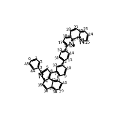 c1ccc(-c2cc(-c3cccc(-c4ccc(-c5ccc6ccc7cccnc7c6n5)cc4)c3)c3c(ccc4ccccc43)n2)cc1